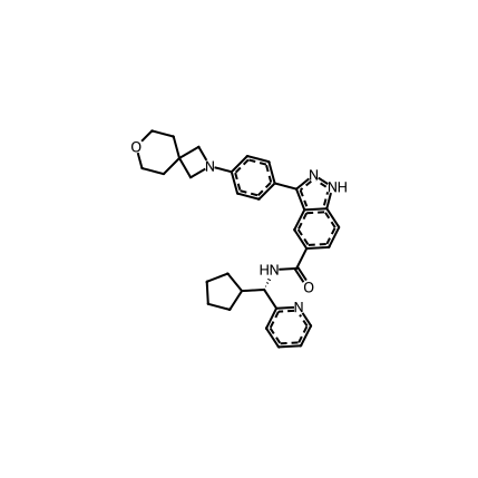 O=C(N[C@H](c1ccccn1)C1CCCC1)c1ccc2[nH]nc(-c3ccc(N4CC5(CCOCC5)C4)cc3)c2c1